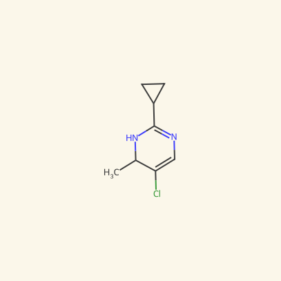 CC1NC(C2CC2)=NC=C1Cl